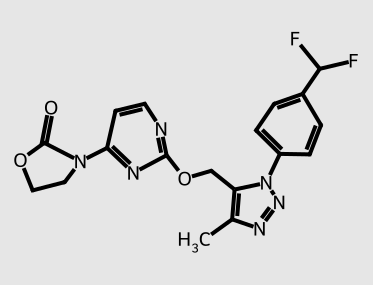 Cc1nnn(-c2ccc(C(F)F)cc2)c1COc1nccc(N2CCOC2=O)n1